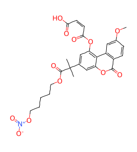 COc1ccc2c(=O)oc3cc(C(C)(C)C(=O)OCCCCCO[N+](=O)[O-])cc(OC(=O)/C=C\C(=O)O)c3c2c1